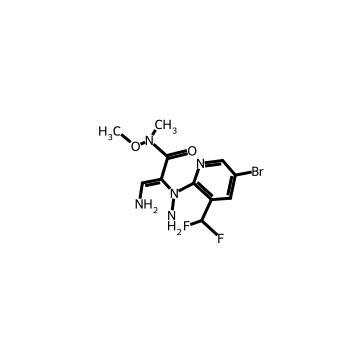 CON(C)C(=O)/C(=C/N)N(N)c1ncc(Br)cc1C(F)F